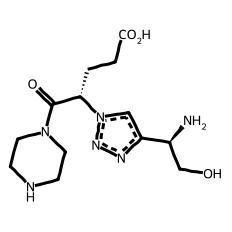 N[C@@H](CO)c1cn([C@@H](CCC(=O)O)C(=O)N2CCNCC2)nn1